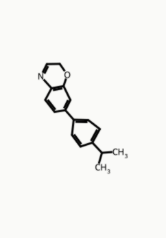 CC(C)c1ccc(-c2ccc3c(c2)OCC=N3)cc1